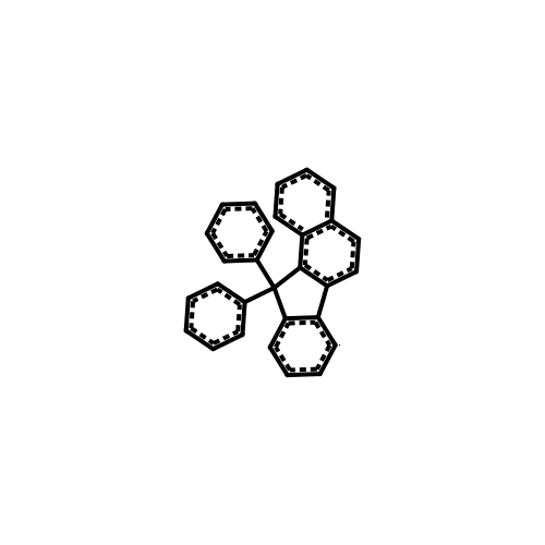 [c]1cccc2c1-c1ccc3ccccc3c1C2(c1ccccc1)c1ccccc1